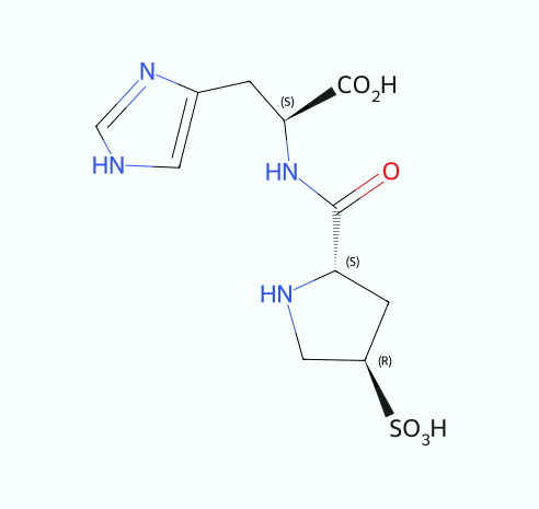 O=C(O)[C@H](Cc1c[nH]cn1)NC(=O)[C@@H]1C[C@@H](S(=O)(=O)O)CN1